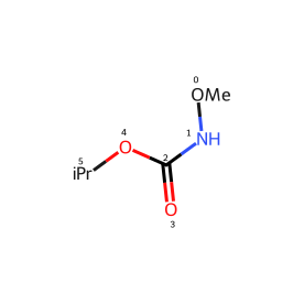 CONC(=O)OC(C)C